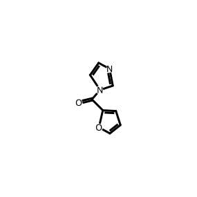 O=C(c1ccco1)n1ccnc1